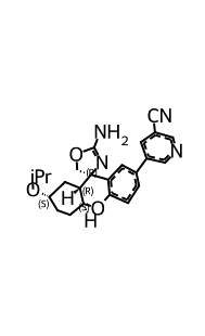 CC(C)O[C@H]1CC[C@@H]2Oc3ccc(-c4cncc(C#N)c4)cc3[C@@]3(COC(N)=N3)[C@H]2C1